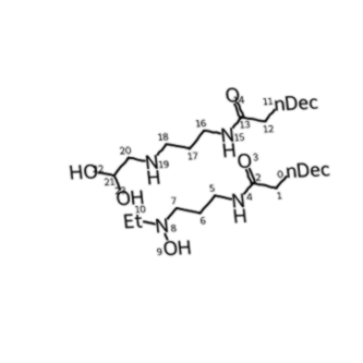 CCCCCCCCCCCC(=O)NCCCN(O)CC.CCCCCCCCCCCC(=O)NCCCNCC(O)O